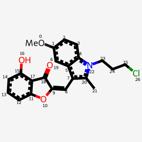 COc1ccc2c(c1)c(C=C1Oc3cccc(O)c3C1=O)c(C)n2CCCCl